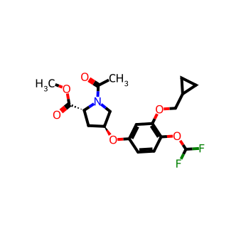 COC(=O)[C@H]1C[C@H](Oc2ccc(OC(F)F)c(OCC3CC3)c2)CN1C(C)=O